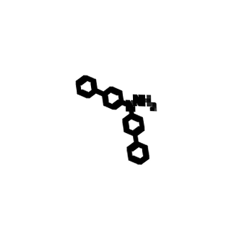 NN(c1ccc(-c2ccccc2)cc1)c1ccc(-c2ccccc2)cc1